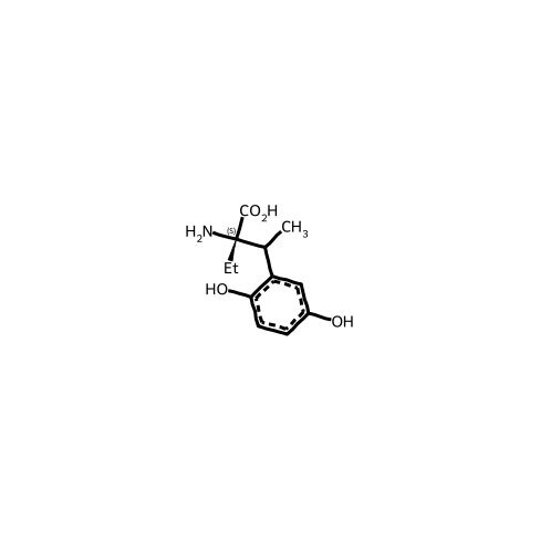 CC[C@@](N)(C(=O)O)C(C)c1cc(O)ccc1O